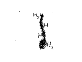 CC(C)(C)OC(=O)C(N)(CCCCCCCNCCCCCCCCNCCCCCCCCN)C(=O)OC(C)(C)C